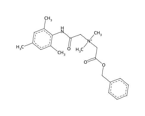 Cc1cc(C)c(NC(=O)C[N+](C)(C)CC(=O)OCc2ccccc2)c(C)c1